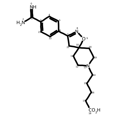 N=C(N)c1ccc(C2=NOC3(CCN(CCCCC(=O)O)CC3)C2)cc1